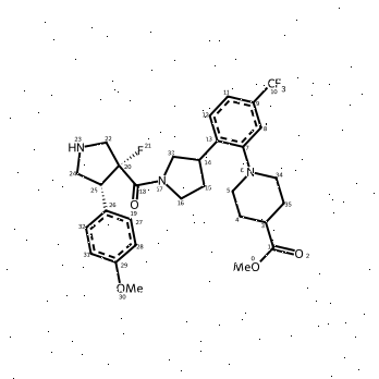 COC(=O)C1CCN(c2cc(C(F)(F)F)ccc2C2CCN(C(=O)[C@]3(F)CNC[C@H]3c3ccc(OC)cc3)C2)CC1